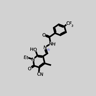 CCn1c(O)c(/C=N/NC(=O)c2ccc(C(F)(F)F)cc2)c(C)c(C#N)c1=O